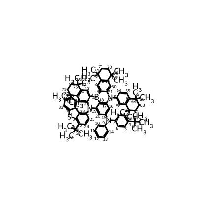 CC(C)(C)c1ccc(N(c2ccccc2)c2cc3c4c(c2)N(c2ccc(C(C)(C)C)c5sc6ccccc6c25)c2cc5c(cc2B4c2cc4c(cc2N3c2ccc3c(c2)C(C)(C)CCC3(C)C)C(C)(C)CCC4(C)C)C(C)(C)CCC5(C)C)cc1